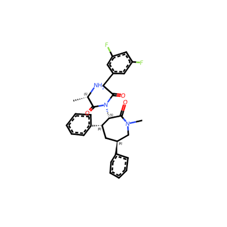 C[C@H](N)C(=O)N(C(=O)Cc1cc(F)cc(F)c1)[C@@H]1C(=O)N(C)C[C@@H](c2ccccc2)C[C@@H]1c1ccccc1